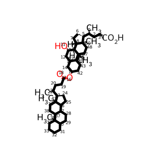 C[C@H](CCC(=O)O)[C@H]1CC[C@H]2[C@@H]3[C@@H](O)CC4C[C@@H](OC(=O)CC[C@@H](C)[C@H]5CCC6C7CCC8CCCC[C@]8(C)C7CC[C@@]65C)CC[C@]4(C)[C@H]3CC[C@]12C